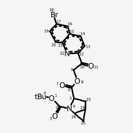 CC(C)(C)OC(=O)N1C(C(=O)OCC(=O)c2ccc3cc(Br)ccc3n2)CC2CC21